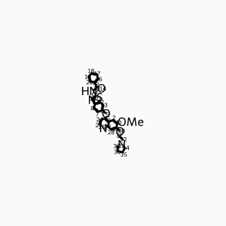 COc1cc2c(Oc3ccc4nc(NC(=O)c5ccccc5)sc4c3)ccnc2cc1OCCN1CCCC1